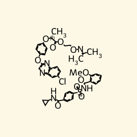 CC(C)=NOCCOC(=O)[C@@H](C)Oc1ccc(Oc2cnc3cc(Cl)ccc3n2)cc1.COc1ccccc1C(=O)NS(=O)(=O)c1ccc(C(=O)NC2CC2)cc1